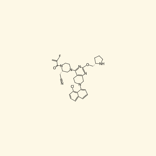 C=C(F)C(=O)N1CCN(c2nc(OC[C@@H]3CCCN3)nc3c2CCN(c2cccc4cccc(Cl)c24)C3)C[C@@H]1CC#N